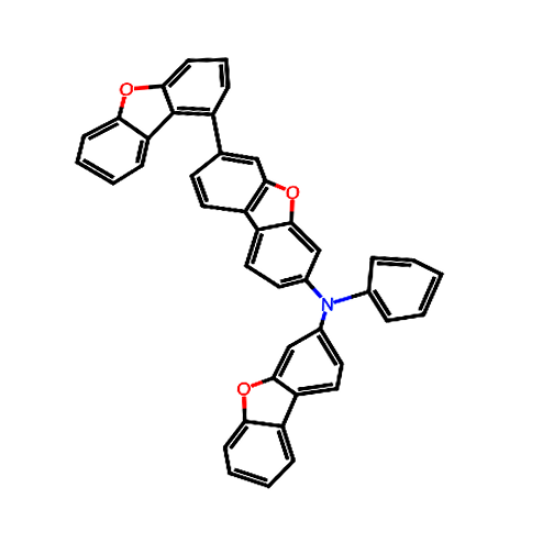 c1ccc(N(c2ccc3c(c2)oc2ccccc23)c2ccc3c(c2)oc2cc(-c4cccc5oc6ccccc6c45)ccc23)cc1